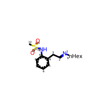 CCCCCCN=CCc1ccccc1NS(C)(=O)=O